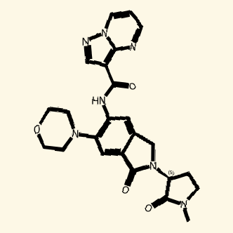 CN1CC[C@H](N2Cc3cc(NC(=O)c4cnn5cccnc45)c(N4CCOCC4)cc3C2=O)C1=O